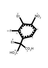 CCc1c([N+](=O)[O-])ccc(C(CC)(C(=O)O)C(=O)O)c1F